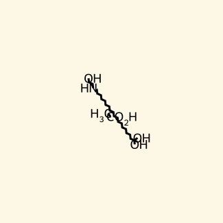 CC(=O)O.OCCNCCCCCCCCCCCCCCCCCCC(O)O